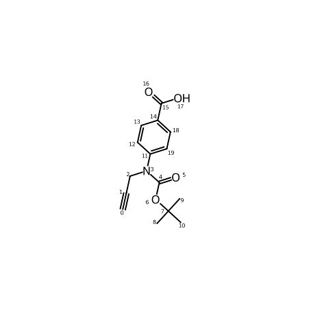 C#CCN(C(=O)OC(C)(C)C)c1ccc(C(=O)O)cc1